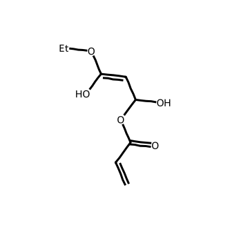 C=CC(=O)OC(O)C=C(O)OCC